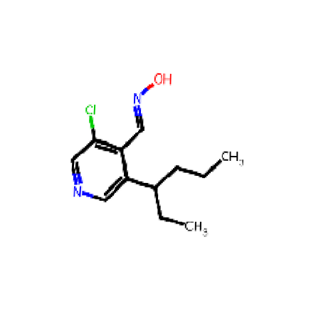 CCCC(CC)c1cncc(Cl)c1/C=N/O